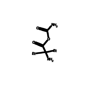 CCC(N)(CC)C(=O)OC(N)=O